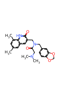 Cc1cc(C)c2[nH]c(=O)c(CN(Cc3ccc4c(c3)OCO4)C(=O)CN(C)C)cc2c1